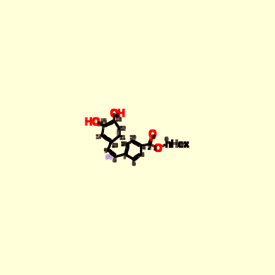 CCCCCCOC(=O)c1ccc(/C=C\c2ccc(O)c(O)c2)cc1